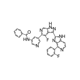 O=C(Nc1cncc(-c2ncc3[nH]nc(-c4nc5c(-c6ccccc6F)nccc5[nH]4)c3c2F)c1)c1ccccc1